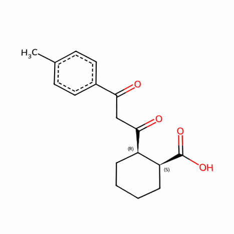 Cc1ccc(C(=O)CC(=O)[C@@H]2CCCC[C@@H]2C(=O)O)cc1